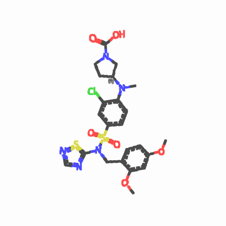 COc1ccc(CN(c2ncns2)S(=O)(=O)c2ccc(N(C)[C@H]3CCN(C(=O)O)C3)c(Cl)c2)c(OC)c1